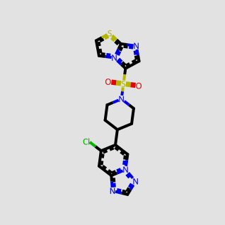 O=S(=O)(c1cnc2sccn12)N1CCC(c2cn3ncnc3cc2Cl)CC1